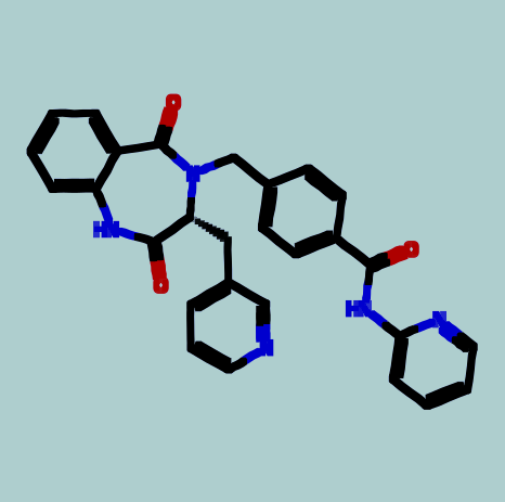 O=C(Nc1ccccn1)c1ccc(CN2C(=O)c3ccccc3NC(=O)[C@H]2Cc2cccnc2)cc1